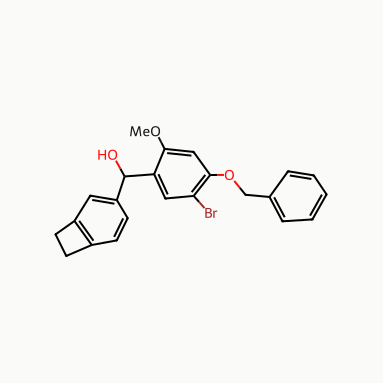 COc1cc(OCc2ccccc2)c(Br)cc1C(O)c1ccc2c(c1)CC2